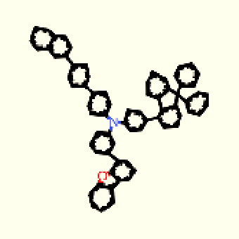 c1ccc(C2(c3ccccc3)c3ccccc3-c3c(-c4ccc(N(c5ccc(-c6ccc(-c7ccc8ccccc8c7)cc6)cc5)c5cccc(-c6cccc7c6oc6ccccc67)c5)cc4)cccc32)cc1